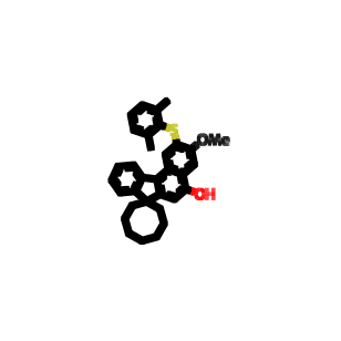 COc1cc2c(O)cc3c(c2cc1Sc1c(C)cccc1C)-c1ccccc1C31CCCCCCC1